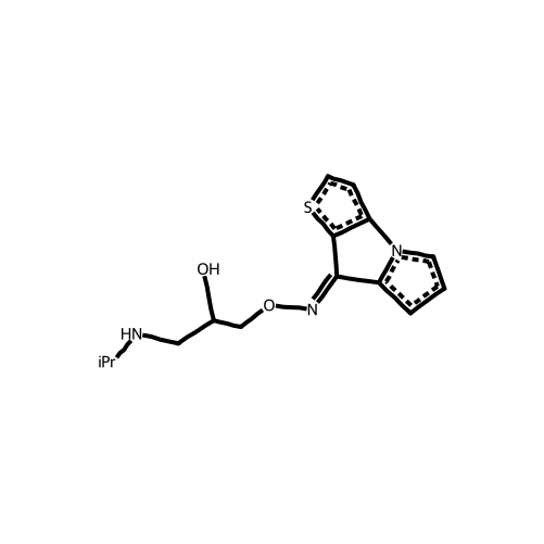 CC(C)NCC(O)CON=C1c2sccc2-n2cccc21